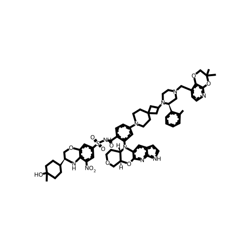 Cc1ccccc1[C@@H]1CN(Cc2ccnc3c2OCC(C)(C)O3)CCN1C1CC2(CCN(c3ccc(C(=O)NS(=O)(=O)c4cc5c(c([N+](=O)[O-])c4)N[C@@H](C4CCC(C)(O)CC4)CO5)c(N4c5cc6cc[nH]c6nc5O[C@H]5COCC[C@@H]54)c3)CC2)C1